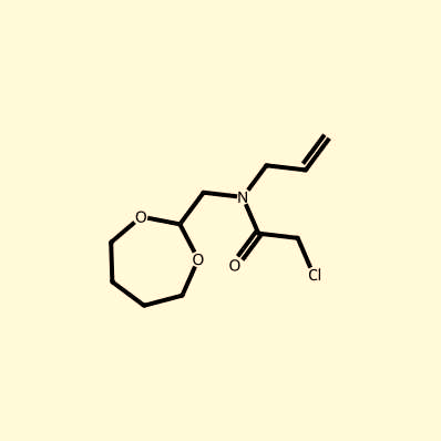 C=CCN(CC1OCCCCO1)C(=O)CCl